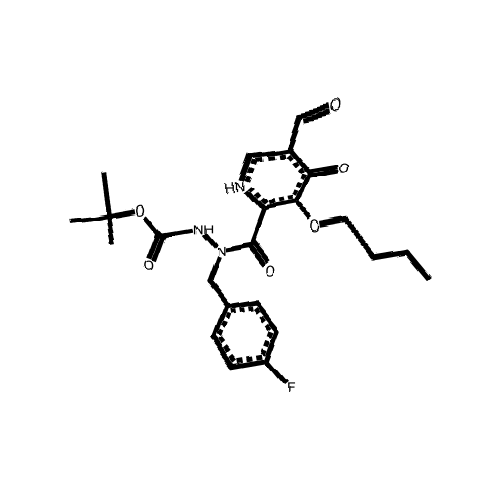 CCCCOc1c(C(=O)N(Cc2ccc(F)cc2)NC(=O)OC(C)(C)C)[nH]cc(C=O)c1=O